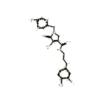 Cc1cnc(CN2CC(C(=O)NCCCc3ccc(Cl)c(Cl)c3)=C(O)C2=O)cn1